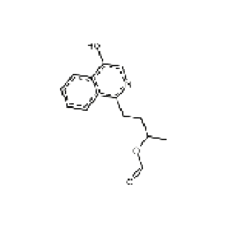 CC(CCc1ncc(O)c2ccccc12)OC=O